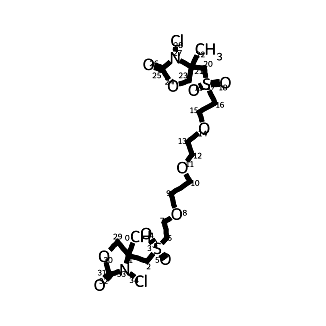 CC1(CS(=O)(=O)CCOCCOCCOCCS(=O)(=O)CC2(C)COC(=O)N2Cl)COC(=O)N1Cl